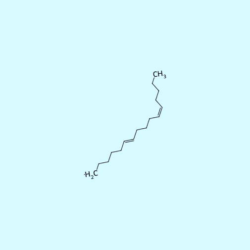 [CH2]CCCC/C=C/CCC/C=C\CCCC